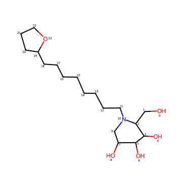 OCC1C(O)C(O)C(O)CN1CCCCCCCCC1CCCO1